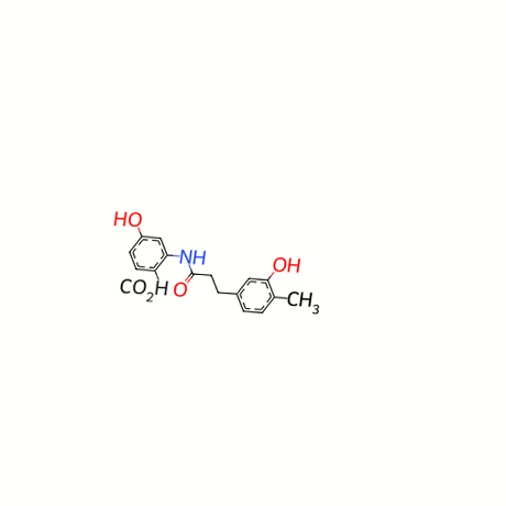 Cc1ccc(CCC(=O)Nc2cc(O)ccc2C(=O)O)cc1O